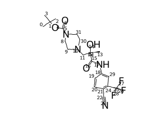 CC(C)(C)OC(=O)N1CCN(C[C@](C)(O)C(=O)Nc2ccc(C#N)c(C(F)(F)F)c2)CC1